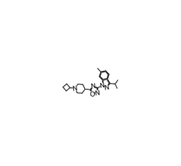 Cc1ccc2c(C(C)C)nn(-c3noc(C4CCN(C5CCC5)CC4)n3)c2c1